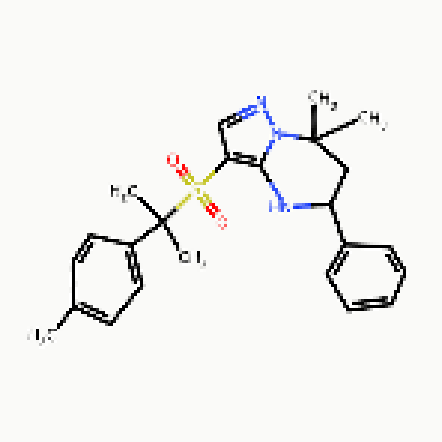 Cc1ccc(C(C)(C)S(=O)(=O)c2cnn3c2NC(c2ccccc2)CC3(C)C)cc1